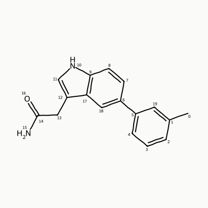 Cc1cccc(-c2ccc3[nH]cc(CC(N)=O)c3c2)c1